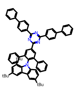 CC(C)(C)c1ccc2c(c1)c1cc(C(C)(C)C)cc(C(C)(C)C)c1n2-c1c(-c2ccccc2)cc(-c2nc(-c3ccc(-c4ccccc4)cc3)nc(-c3ccc(-c4ccccc4)cc3)n2)cc1-c1ccccc1